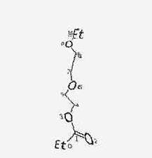 [CH2]CC(=O)OCCOCCOCC